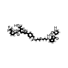 CN(CCCOCCCNc1cccc2c1C(=O)N(C1CCCNC1=O)C2=O)CC1CCC(c2cc3cc(NC(=O)c4cccc(C(F)(F)F)n4)c(C(C)(C)O)cn3n2)CC1